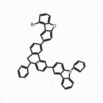 Brc1cccc2oc3ccc(-c4ccc5c(c4)-c4cc(-c6ccc7c(c6)c6ccccc6n7-c6ccccc6)ccc4C(c4ccccc4)C5)cc3c12